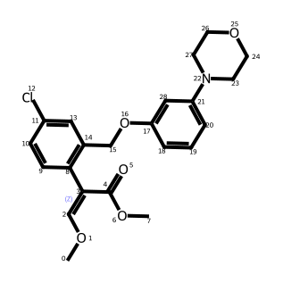 CO/C=C(\C(=O)OC)c1ccc(Cl)cc1COc1cccc(N2CCOCC2)c1